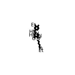 CCOCCCCCn1cnc2nc(Nc3ccc(C)c(CC)c3)[nH]c(=O)c21